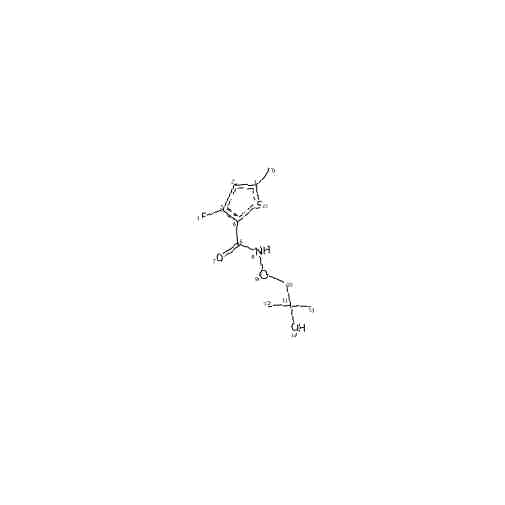 Cc1cc(F)c(C(=O)NOCC(C)(C)O)s1